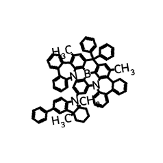 Cc1cc2c3c4c1-c1ccccc1-c1ccccc1N4c1cc(N4c5ccc(-c6ccccc6)cc5C5(C)CCCCC45C)cc4c1B3c1c(cc(C)c3c1N4c1ccccc1C1=CC=CCC13)C2(c1ccccc1)c1ccccc1